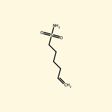 C=CCCCCS(N)(=O)=O